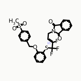 CS(=O)(=O)c1ccc(COc2ccccc2SC(F)(F)/C(F)=C/CN2C(=O)c3ccccc3C2=O)cc1